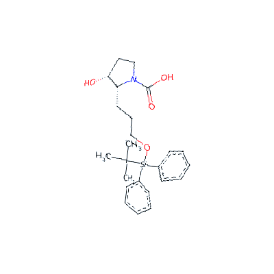 CC(C)(C)[Si](OCCC[C@@H]1[C@H](O)CCN1C(=O)O)(c1ccccc1)c1ccccc1